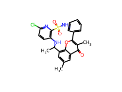 Cc1cc(C(C)Nc2ccc(Cl)nc2S(N)(=O)=O)c2oc(-c3ccccc3)c(C)c(=O)c2c1